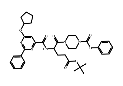 CC(C)(C)OC(=O)CCC(NC(=O)c1cc(OC2CCCC2)nc(-c2ccccc2)n1)C(=O)N1CCN(C(=O)Oc2ccccc2)CC1